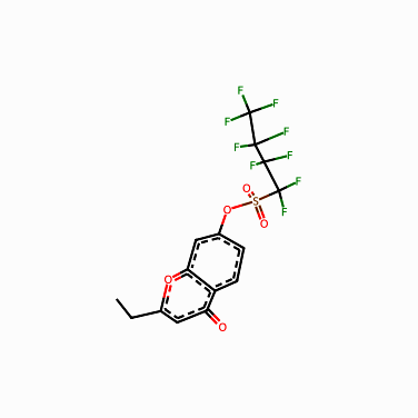 CCc1cc(=O)c2ccc(OS(=O)(=O)C(F)(F)C(F)(F)C(F)(F)C(F)(F)F)cc2o1